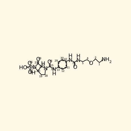 NCCOCCNC(=O)Nc1ccc(NC(=O)N2CC[C@@H]3[C@H]2C(=O)N3S(=O)(=O)O)cc1